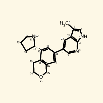 Cc1c[nH]c2ncc(-c3cc4c(c([C@@H]5CCCN5)c3)CCOC4)cc12